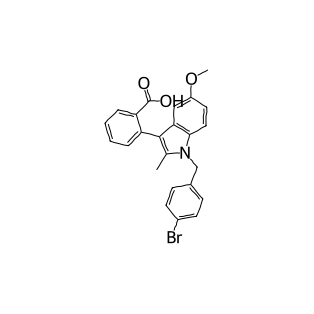 COc1ccc2c(c1)c(-c1ccccc1C(=O)O)c(C)n2Cc1ccc(Br)cc1